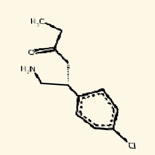 CCC(=O)C[C@@H](CN)c1ccc(Cl)cc1